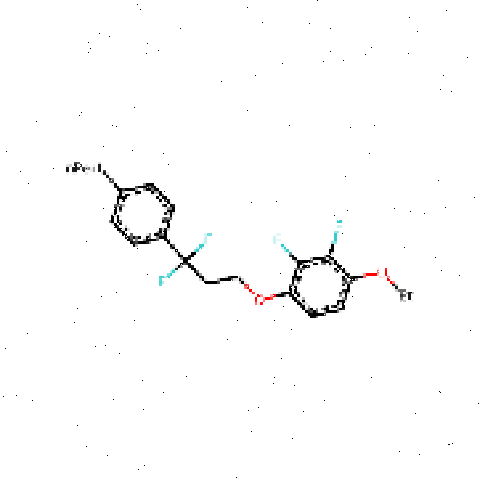 CCCCCc1ccc(C(F)(F)CCOc2ccc(OCC)c(F)c2F)cc1